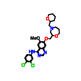 COc1cc2c(Nc3ccc(Cl)c(Cl)c3)ncnc2cc1OCC1CN(CC2CCCCO2)CCCO1